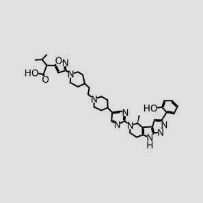 CC(C)C(C(=O)O)c1cc(N2CCC(CCN3CCC(c4cnc(N5CCc6[nH]c7nnc(-c8ccccc8O)cc7c6[C@@H]5C)nc4)CC3)CC2)no1